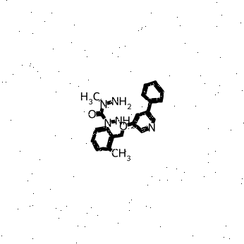 Cc1cccc(N(N)C(=O)N(C)N)c1COc1cncc(-c2ccccc2)c1